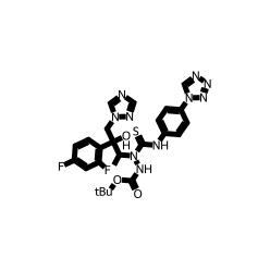 CC(N(NC(=O)OC(C)(C)C)C(=S)Nc1ccc(-n2cnnn2)cc1)C(O)(Cn1cncn1)c1ccc(F)cc1F